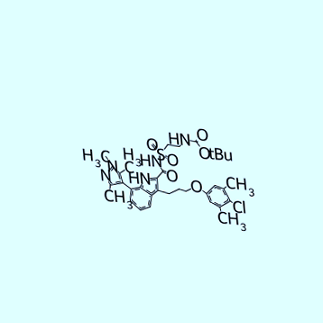 Cc1cc(OCCCc2c(C(=O)NS(=O)(=O)CCNC(=O)OC(C)(C)C)[nH]c3c(-c4c(C)nn(C)c4C)cccc23)cc(C)c1Cl